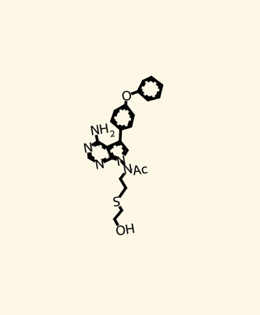 CC(=O)N(CCSCCO)n1cc(-c2ccc(Oc3ccccc3)cc2)c2c(N)ncnc21